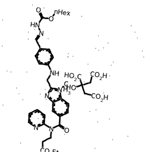 CCCCCCOC(=O)NN=Cc1ccc(NCc2nc3cc(C(=O)N(CCC(=O)OCC)c4ccccn4)ccc3n2C)cc1.O=C(O)CC(O)(CC(=O)O)C(=O)O